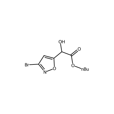 CCCCOC(=O)C(O)c1cc(Br)no1